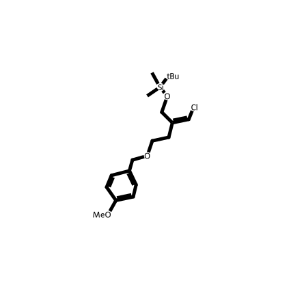 COc1ccc(COCCC(=CCl)CO[Si](C)(C)C(C)(C)C)cc1